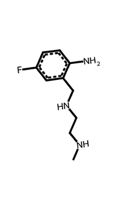 CNCCNCc1cc(F)ccc1N